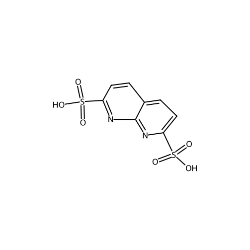 O=S(=O)(O)c1ccc2ccc(S(=O)(=O)O)nc2n1